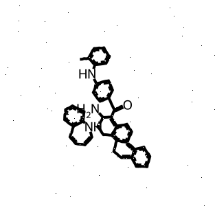 C1=CNc2ccccc2C=C1.Cc1ccccc1Nc1ccc(C(=O)C2=c3ccc4c(c3CCC2N)CC=c2ccccc2=4)cc1